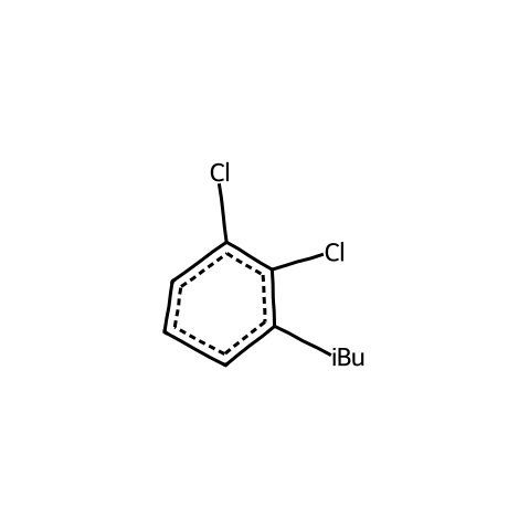 CCC(C)c1cccc(Cl)c1Cl